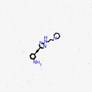 Nc1cccc(C#Cc2cnc(NCCCN3CCCCC3)nc2)c1